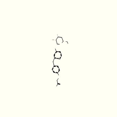 O=C(O)COc1ccc(Cc2cccc(O[C@H]3O[C@H](CO)[C@@H](O)[C@H](O)[C@@H]3O)c2)cc1